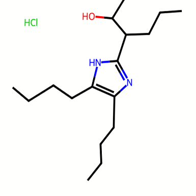 CCCCc1nc(C(CCC)C(C)O)[nH]c1CCCC.Cl